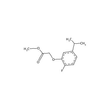 COC(=O)COc1cc(C(C)C)ccc1F